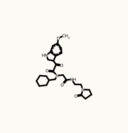 COc1ccc2c(c1)NCC2C(=O)C(=O)N(CC(=O)NCCN1CCCC1=O)CC1CCCCC1